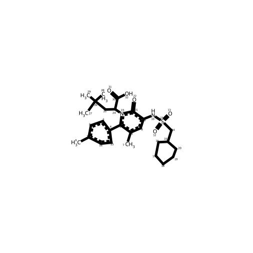 Cc1ccc(-c2c(C)cc(NS(=O)(=O)CC3CCCCC3)c(=O)n2C(CC(C)(C)C)C(=O)O)cc1